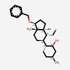 C[C@H]1CC[C@H]([C@H]2CC[C@]3(C)[C@@H](OCc4ccccc4)CC[C@H]3[C@@H]2CI)[C@@H](O)C1